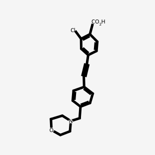 O=C(O)c1ccc(C#Cc2ccc(CN3CCOCC3)cc2)cc1Cl